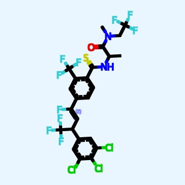 CC(NC(=S)c1ccc(/C(F)=C/C(c2cc(Cl)c(Cl)c(Cl)c2)C(F)(F)F)cc1C(F)(F)F)C(=O)N(C)CC(F)(F)F